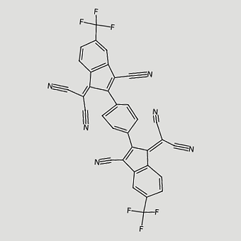 N#CC(C#N)=C1C(c2ccc(C3=C(C#N)c4cc(C(F)(F)F)ccc4C3=C(C#N)C#N)cc2)=C(C#N)c2cc(C(F)(F)F)ccc21